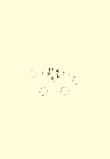 O[C@@H]1O[C@H](COCc2ccccc2)[C@@H](OCc2ccccc2)[C@H](OCc2ccccc2)[C@H]1OCc1ccccc1